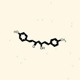 Cc1ccc(/C=C/C(O)=C/C(=O)/C=C/c2ccc(O)cc2)cc1